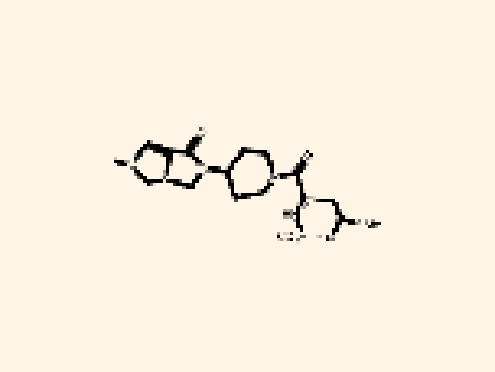 CSC(C[C@@H](NC(=O)O)C(=O)N1CCC(N2CN3CN(C)C=C3C2=O)CC1)C(C)(C)C